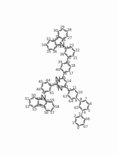 c1ccc(-c2cccc(-c3ccc(-c4cc(-c5ccc(-c6cccc(-n7c8ccccc8c8ccccc87)c6)cc5)nc(-c5cccc(-n6c7ccccc7c7ccccc76)c5)n4)cc3)c2)cc1